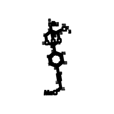 CCCCC12COC(c3ccc(C#CCOC)cc3)(OC1)OC2C(F)(F)F